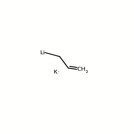 [K].[Li][CH2]C=C